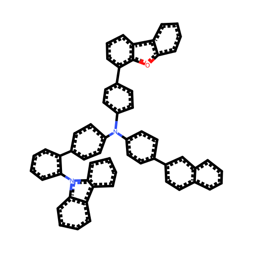 c1ccc(-n2c3ccccc3c3ccccc32)c(-c2ccc(N(c3ccc(-c4ccc5ccccc5c4)cc3)c3ccc(-c4cccc5c4oc4ccccc45)cc3)cc2)c1